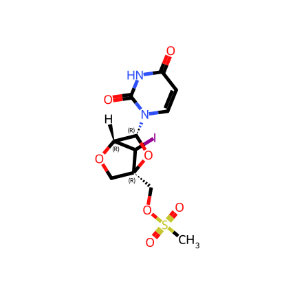 CS(=O)(=O)OC[C@]12CO[C@@H](C1I)[C@H](n1ccc(=O)[nH]c1=O)O2